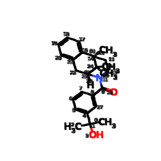 CC(C)(O)c1cccc(C(=O)N2CC[C@@]3(C)c4ccccc4C[C@@H]2C3(C)C)c1